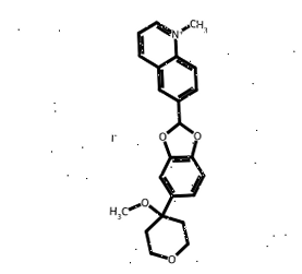 COC1(c2ccc3c(c2)OC(c2ccc4c(ccc[n+]4C)c2)O3)CCOCC1.[I-]